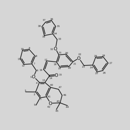 Cc1c(C)c(OCc2ccccc2)c(C(=O)C=Cc2ccc(OCc3ccccc3)cc2OCc2ccccc2)c2c1OC(C)(C)CC2